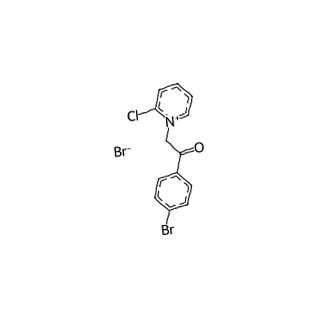 O=C(C[n+]1ccccc1Cl)c1ccc(Br)cc1.[Br-]